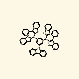 C1=CC2OC(N(c3cc(N(C4=C(c5ccccc5)C5C=CC=CC5O4)c4cc5ccccc5o4)cc(-n4c5ccccc5c5ccccc54)c3)c3cc4ccccc4o3)=C(c3ccccc3)C2C=C1